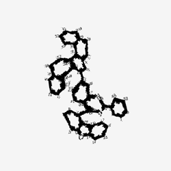 c1ccc(-c2nc(-c3cccc4oc5ccccc5c34)c3ccc(-c4cc5ccc6ccccc6c5c5ccc6ccccc6c45)cc3n2)cc1